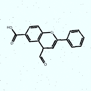 O=CC1C=C(c2ccccc2)Oc2ccc(C(=O)O)cc21